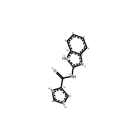 O=C(Nc1nc2ccccc2[nH]1)c1cscn1